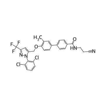 Cc1cc(-c2ccc(C(=O)NCCC#N)cc2)ccc1OCc1cc(C(F)(F)F)nn1-c1c(Cl)cccc1Cl